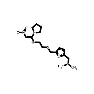 CN(C)Cc1ccc(CSCCNC(=C[N+](=O)[O-])N2CCCC2)o1